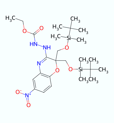 CCOC(=O)NNC1=Nc2cc([N+](=O)[O-])ccc2OC1(CO[Si](C)(C)C(C)(C)C)CO[Si](C)(C)C(C)(C)C